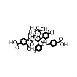 COc1cc(C(=O)O)ccc1NC(=O)[C@@H]1N[C@@H](CC(C)(C)C)[C@@]2(CN(Cc3ccc(C(=O)O)cc3)c3cc(Cl)ccc32)[C@H]1c1ccccc1Cl